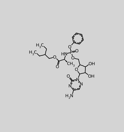 CCC(CC)COC(=O)[C@H](C)NP(=O)(OCC1OC(n2ncc(N)nc2=O)C(O)C1O)Oc1ccccc1